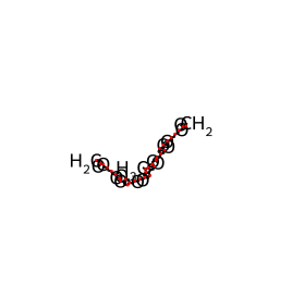 C=CC(=O)OCCCCCCOC(=O)Oc1ccc(C=COCOc2ccc3c(c2)C(C)c2cc(OC(=O)C=Cc4ccc(OC(=O)OCCCCCCOC(=O)C=C)cc4)ccc2-3)cc1